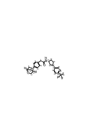 O=C(Cc1ccc(N2C[C@@H]3C[C@H]2CO3)cc1)N[C@@H]1CCN(c2ccc(C(F)(F)F)nc2)C1